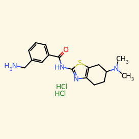 CN(C)C1CCc2nc(NC(=O)c3cccc(CN)c3)sc2C1.Cl.Cl